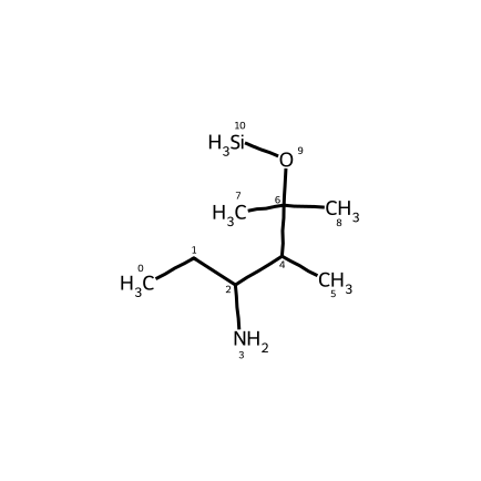 CCC(N)C(C)C(C)(C)O[SiH3]